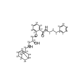 O=C(NCCCc1ccccc1)c1ccccc1OCC(O)CNCC12CC3CC(CC(C3)C1)C2